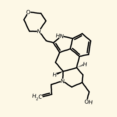 C=CCN1CC(CO)C[C@@H]2c3cccc4[nH]c(CN5CCOCC5)c(c34)C[C@H]21